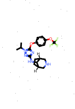 CC(C)n1nc(NC2[C@@H]3CC[C@H]2CNC3)nc1Oc1ccc(OC(F)(F)F)cc1